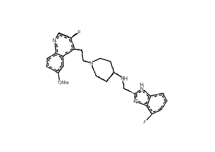 COc1ccc2ncc(F)c(CCN3CCC(NCc4nc5c(F)cccc5[nH]4)CC3)c2c1